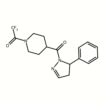 O=C(C1CCN(C(=O)C(F)(F)F)CC1)N1N=CCC1c1ccccc1